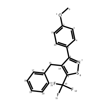 COc1ccc(-c2nsc(C(F)(F)F)c2Cc2ccccc2)cc1